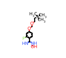 C[Si](C)(C)CCOCOc1ccc(C(=N)NO)c(F)c1